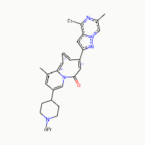 CCCN1CCC(C2=CN3C(=O)\C=C(c4cc5c(CC)nc(C)cn5n4)/C=C/C=C/3C(C)=C2)CC1